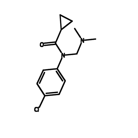 CN(C)CN(C(=O)C1CC1)c1ccc(Cl)cc1